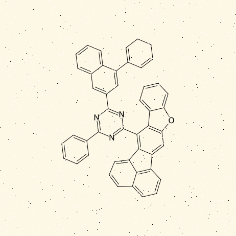 C1=CC(c2cc(-c3nc(-c4ccccc4)nc(-c4c5c(cc6oc7ccccc7c46)-c4cccc6cccc-5c46)n3)cc3ccccc23)=CCC1